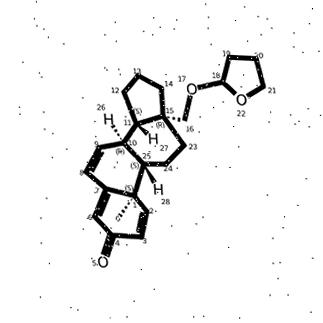 C[C@]12C=CC(=O)C=C1C=C[C@H]1[C@@H]3CCC[C@@]3(COC3CCCO3)CC[C@@H]12